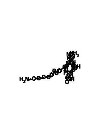 NCCCOCCOCCOCCOc1ccc(C(=O)Oc2ccc(CSP3(=O)OC[C@H]4O[C@@H](n5cnc6c(N)ncnc65)[C@H](F)[C@@H]4OP(=O)(O)OC[C@H]4O[C@@H](n5ccc(=O)[nH]c5=O)[C@H](F)[C@@H]4O3)cc2)cc1